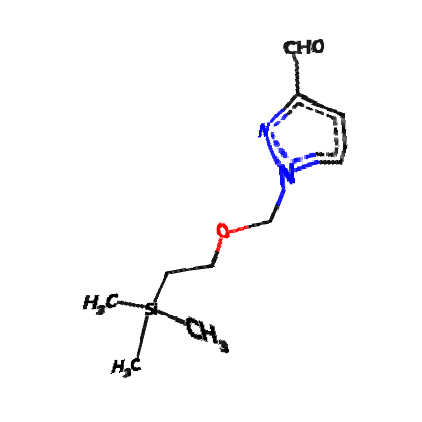 C[Si](C)(C)CCOCn1ccc(C=O)n1